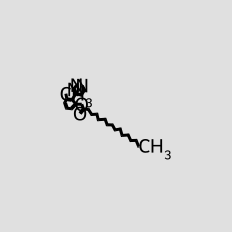 CCCCCCCCCCCCCCCC(=O)Oc1cccc(C)c1-c1ccnnn1